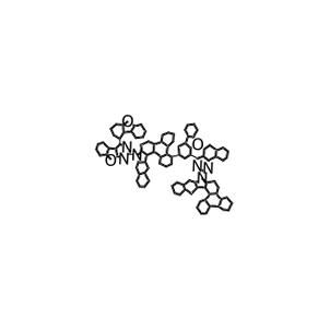 c1ccc2cc3c(cc2c1)c1c2c4ccccc4c4ccccc4c2ccc1n3-c1nc(-c2cc(-c3cccc4c3c3ccccc3c3ccc5c(c6cc7ccccc7cc6n5-c5nc(-c6cccc7oc8ccccc8c67)c6c(n5)oc5ccccc56)c34)cc3c2oc2ccccc23)c2ccc3ccccc3c2n1